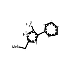 CNCc1nc(-c2ccccc2)c(C)[nH]1